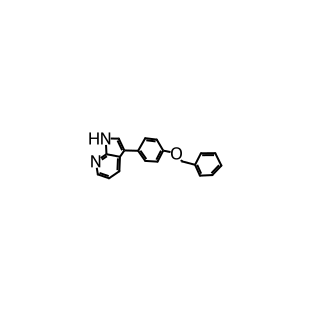 c1ccc(COc2ccc(-c3c[nH]c4ncccc34)cc2)cc1